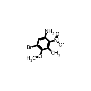 COc1c(Br)cc(N)c([N+](=O)[O-])c1C